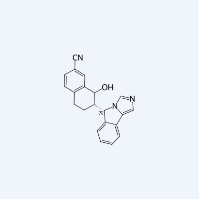 N#Cc1ccc2c(c1)C(O)C([C@H]1c3ccccc3-c3cncn31)CC2